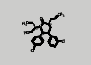 C=CC[C@H]1CC(c2cccc(Cl)c2)[C@@H](c2ccc(Cl)cc2)N([C@@H](CC)CO)C1=O